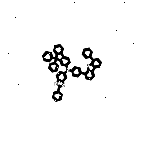 c1ccc(-c2nc3ccc(N(c4ccc(-c5cccc6c5sc5c(-c7ccccc7)cccc56)cc4)c4ccc5c(c4)C(c4ccccc4)(c4ccccc4)c4ccccc4-5)cc3s2)cc1